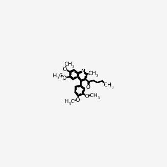 CCCCC(=O)c1c(C)nc2cc(OC)c(OC)cc2c1-c1ccc(OC)c(OC)c1